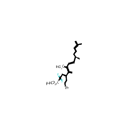 CC(C)=CCC[C@@H](C)CC/C(C(=O)O)=C(\C)C(CCC(C)C)CC(F)(F)C(=O)O